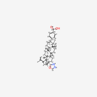 C=C(C)[C@@H]1CC[C@]2(c3nnco3)CC[C@]3(C)[C@H](CC[C@@H]4[C@@]5(C)CC=C(c6ccc(C(=O)O)cc6)C(C)(C)[C@@H]5CC[C@]43C)[C@@H]12